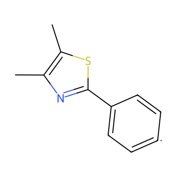 Cc1nc(-c2cc[c]cc2)sc1C